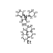 CCc1ccc2ccc3c(-c4ccc5c6ccccc6n(-c6ccccc6)c5c4)ccc4ccc1c2c43